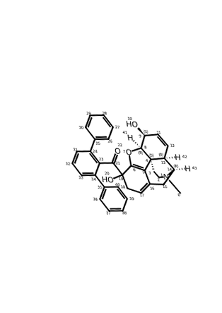 CN1CC[C@]23C4=C5O[C@H]2[C@@H](O)C=C[C@H]3[C@H]1CC4=CCC5(O)C(=O)c1c(-c2ccccc2)cccc1-c1ccccc1